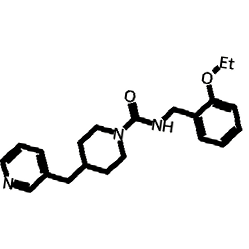 CCOc1ccccc1CNC(=O)N1CCC(Cc2cccnc2)CC1